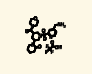 NCc1ccnc(S(=O)(=O)N2CC(C(=O)N3CCOCC3)CC(N3CCCCC3=O)C2)c1.O=C(O)C(F)(F)F